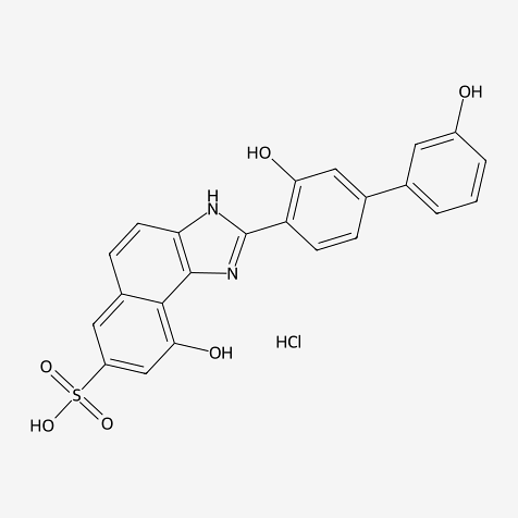 Cl.O=S(=O)(O)c1cc(O)c2c(ccc3[nH]c(-c4ccc(-c5cccc(O)c5)cc4O)nc32)c1